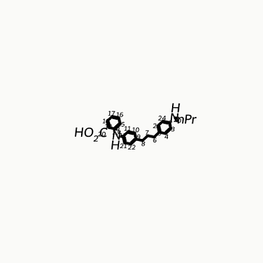 CCCNc1ccc(CCCc2ccc(Nc3ccccc3C(=O)O)cc2)cc1